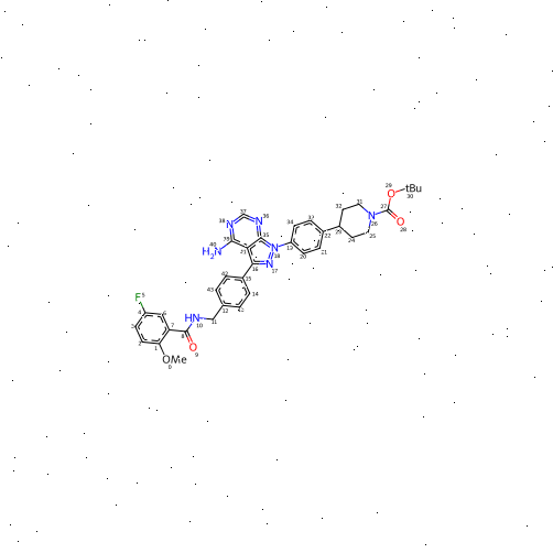 COc1ccc(F)cc1C(=O)NCc1ccc(-c2nn(-c3ccc(C4CCN(C(=O)OC(C)(C)C)CC4)cc3)c3ncnc(N)c23)cc1